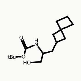 CC(C)(C)OC(=O)NC(CO)CC1CC2(CCC2)C1